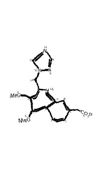 CCOC(=O)c1ccc2c(OC)c(OC)c(Cn3cncn3)nc2c1